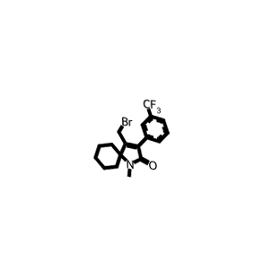 CN1C(=O)C(c2cccc(C(F)(F)F)c2)=C(CBr)C12CCCCC2